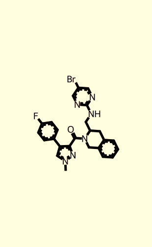 Cn1cc(-c2ccc(F)cc2)c(C(=O)N2Cc3ccccc3CC2CNc2ncc(Br)cn2)n1